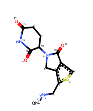 O=CNCc1scc2c1CN(C1CCC(=O)NC1=O)C2=O